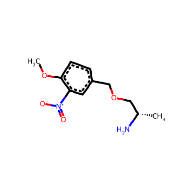 COc1ccc(COC[C@H](C)N)cc1[N+](=O)[O-]